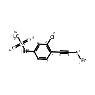 CC(C)SC#Cc1ccc(NS(C)(=O)=O)cc1Cl